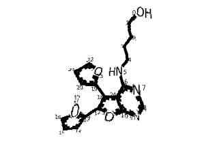 OCCCCNc1ncnc2oc(-c3ccco3)c(-c3ccco3)c12